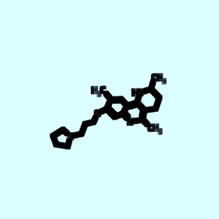 Cc1cc2c3c(c(C)nc2cc1OCCCN1CCCC1)CCC(C)N3